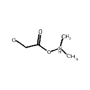 C[SiH](C)OC(=O)CCl